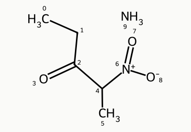 CCC(=O)C(C)[N+](=O)[O-].N